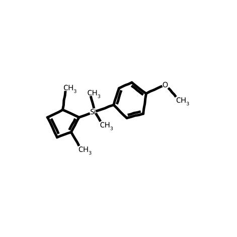 COc1ccc([Si](C)(C)C2=C(C)C=CC2C)cc1